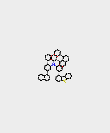 c1ccc(-c2ccc(-c3cccc4ccccc34)cc2N(c2cccc(-c3cccc4sc5ccccc5c34)c2)c2ccccc2-c2cccc3cccc(-c4ccccc4)c23)cc1